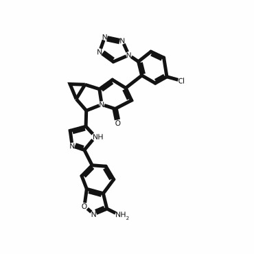 Nc1noc2cc(-c3ncc(C4C5CC5c5cc(-c6cc(Cl)ccc6-n6cnnn6)cc(=O)n54)[nH]3)ccc12